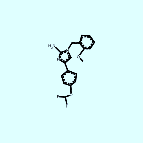 COc1ccccc1Cn1cc(-c2ccc(OC(F)F)cc2)nc1N